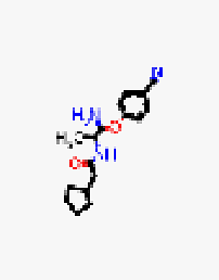 CC(NC(=O)CC1CCCC1)C(N)Oc1ccc(C#N)cc1